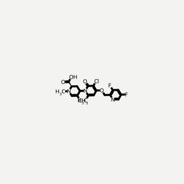 CC1=CN(C)[C@@H](C(=O)O)CC1n1c(C)cc(OCc2ncc(F)cc2F)c(Cl)c1=O